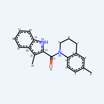 Cc1ccc2c(c1)CCCN2C(=O)c1[nH]c2ccccc2c1C